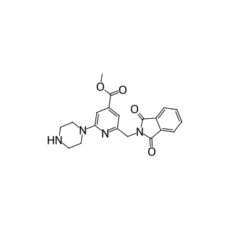 COC(=O)c1cc(CN2C(=O)c3ccccc3C2=O)nc(N2CCNCC2)c1